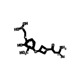 CC(=O)[C@@H](N)CC(=O)N1CC(Oc2ccc(CCB(O)O)c(O)c2C(=O)O)C1